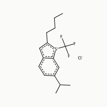 CCCCc1cc2ccc(C(C)C)cc2[s+]1C(F)(F)F.[Cl-]